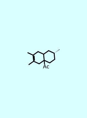 CC(=O)C12CC[C@@H](C)CC1CC(C)=C(C)C2